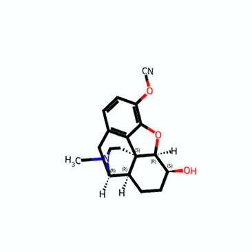 CN1CC[C@]23c4c5ccc(OC#N)c4O[C@H]2[C@@H](O)CC[C@H]3[C@H]1C5